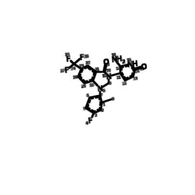 Cc1cc(F)ccc1N1CN(c2ccc(=O)[nH]c2N)C(=O)c2cc(C(F)(F)F)ccc21